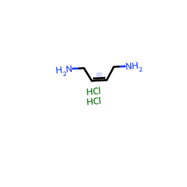 Cl.Cl.NC/C=C\CN